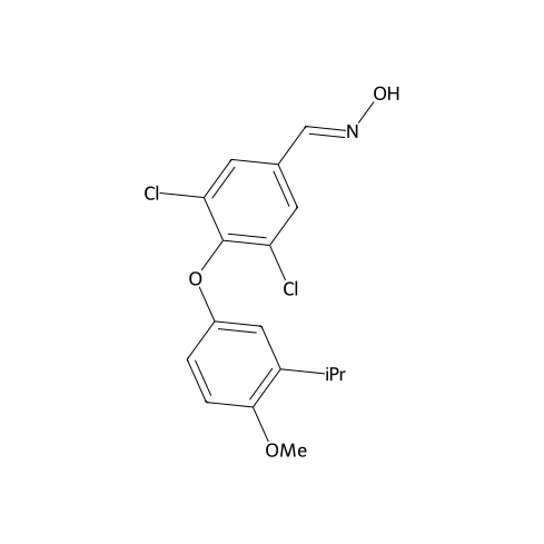 COc1ccc(Oc2c(Cl)cc(C=NO)cc2Cl)cc1C(C)C